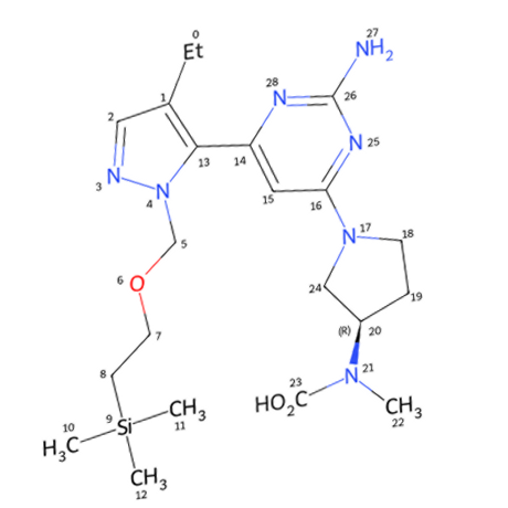 CCc1cnn(COCC[Si](C)(C)C)c1-c1cc(N2CC[C@@H](N(C)C(=O)O)C2)nc(N)n1